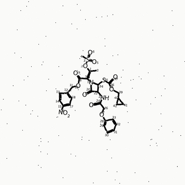 CC(OS(C)(=O)=O)=C(C(=O)OCc1ccc([N+](=O)[O-])cc1)N1C(=O)C(NC(=O)COc2ccccc2)C1SC(=O)OCC1CC1